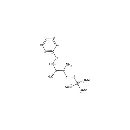 CO[Si](CCC(N)C(C)NCc1ccccc1)(OC)OC